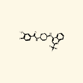 Cc1cc(C(=O)NC2CCC(Nc3cc(C(F)(F)F)nc4ccccc34)CC2)ccc1F